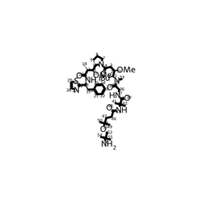 CC[C@H](C)[C@@H]([C@@H](CC(=O)N1CCC[C@H]1[C@H](OC)[C@@H](C)C(=O)N[C@@H](Cc1ccccc1)c1nccs1)OC)N(C)C(=O)CNC(=O)C(C)(C)NC(=O)CCC(C)(C)OCC(C)(C)N